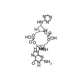 C[C@H]1[C@H]2OP(=O)(O)OC[C@H]3C[C@@H](Nc4ncncn4)C[C@@H]3OP(=O)(O)OC[C@H]1O[C@H]2n1cnc2c(=O)[nH]c(N)nc21